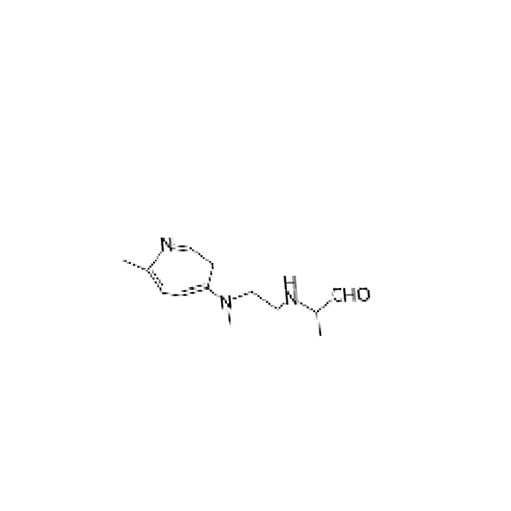 CC1=CC=C(N(C)CCNC(C)C=O)CC=N1